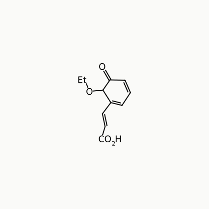 CCOC1C(=O)C=CC=C1C=CC(=O)O